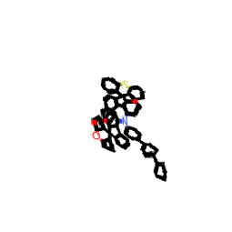 c1ccc(-c2ccc(-c3ccc(N(c4cccc5c4-c4ccccc4C54c5ccccc5Oc5ccccc54)c4cccc5c4-c4c(ccc6ccccc46)C54c5ccccc5Sc5ccccc54)cc3)cc2)cc1